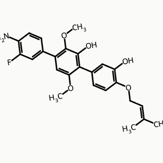 COc1cc(-c2ccc(N)c(F)c2)c(OC)c(O)c1-c1ccc(OCC=C(C)C)c(O)c1